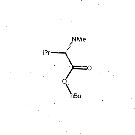 CCCCOC(=O)[C@@H](NC)C(C)C